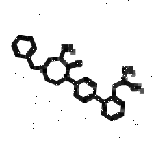 CN(C)Cc1ccccc1-c1ccc(N2CCN(Cc3ccccc3)CC(N)C2=O)cc1